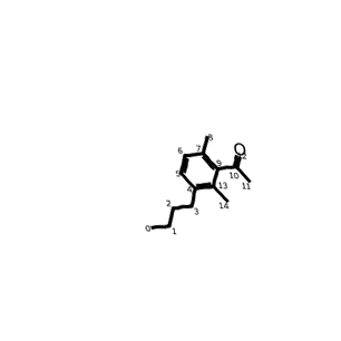 CCCCc1ccc(C)c(C(C)=O)c1C